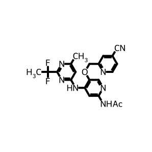 CC(=O)Nc1cc(Nc2cc(C)nc(C(C)(F)F)n2)c(OCc2cc(C#N)ccn2)cn1